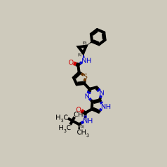 C[C@H](NC(=O)c1c[nH]c2ncc(-c3ccc(C(=O)N[C@H]4C[C@@H]4c4ccccc4)s3)nc12)C(C)(C)C